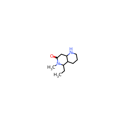 CCC1C2CCCNC2CC(=O)N1C